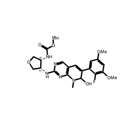 COc1cc(OC)c(F)c(C2=Cc3cnc(N[C@@H]4COC[C@@H]4NC(=O)OC(C)(C)C)nc3N(C)C2O)c1